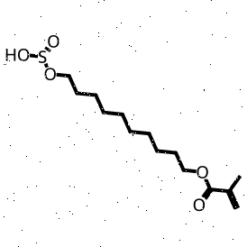 C=C(C)C(=O)OCCCCCCCCCCOS(=O)O